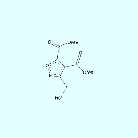 COC(=O)c1onc(CO)c1C(=O)OC